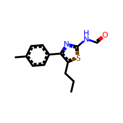 CCCc1sc(NC=O)nc1-c1ccc(C)cc1